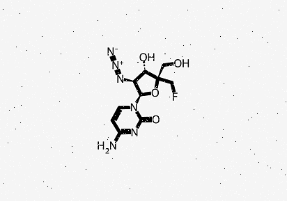 [N-]=[N+]=N[C@@H]1[C@H](n2ccc(N)nc2=O)O[C@@](CO)(CF)[C@H]1O